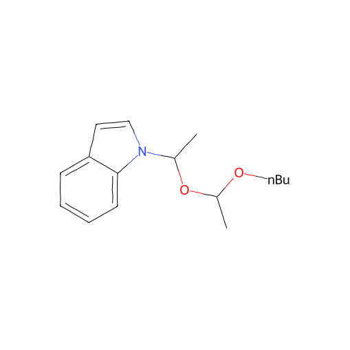 CCCCOC(C)OC(C)n1ccc2ccccc21